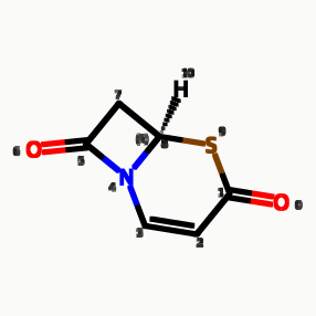 O=C1C=CN2C(=O)C[C@H]2S1